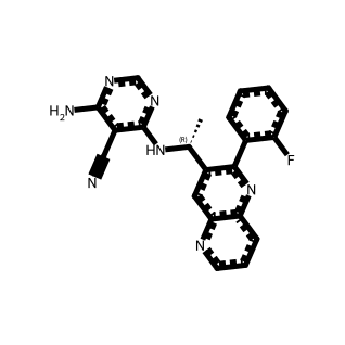 C[C@@H](Nc1ncnc(N)c1C#N)c1cc2ncccc2nc1-c1ccccc1F